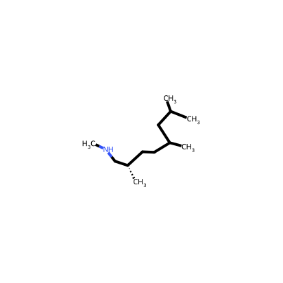 CNC[C@@H](C)CCC(C)CC(C)C